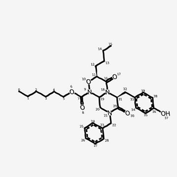 CCCCCCOC(=O)N1O[C@@H](CCCC)C(=O)N2C1CN(Cc1ccccc1)C(=O)[C@@H]2Cc1ccc(O)cc1